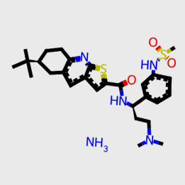 CN(C)CC[C@@H](NC(=O)c1cc2cc3c(nc2s1)CC[C@H](C(C)(C)C)C3)c1cccc(NS(C)(=O)=O)c1.N